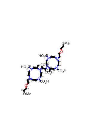 COCCOCCN1CCN(C(=O)O)CCN(C(C(=O)O)C(C(=O)O)N2CCN(C(=O)O)CCN(CCOCCOC)CCN(C(=O)O)CC2C)C(C)CN(C(=O)O)CC1